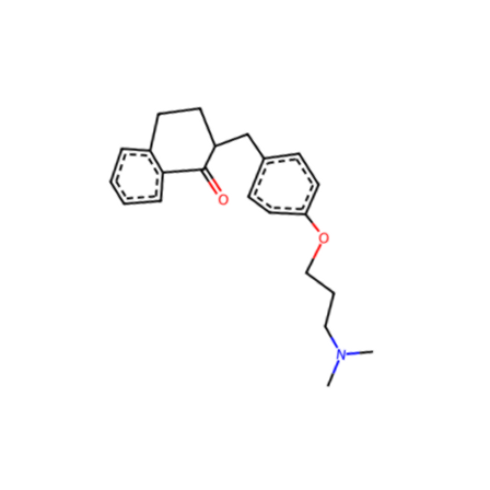 CN(C)CCCOc1ccc(CC2CCc3ccccc3C2=O)cc1